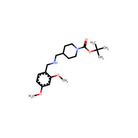 COc1ccc(CNCC2CCN(C(=O)OC(C)(C)C)CC2)c(OC)c1